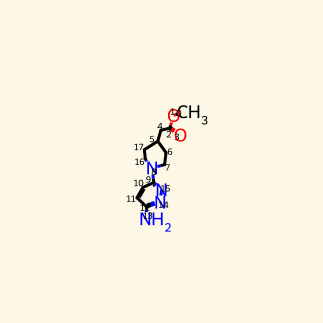 COC(=O)CC1CCN(c2ccc(N)nn2)CC1